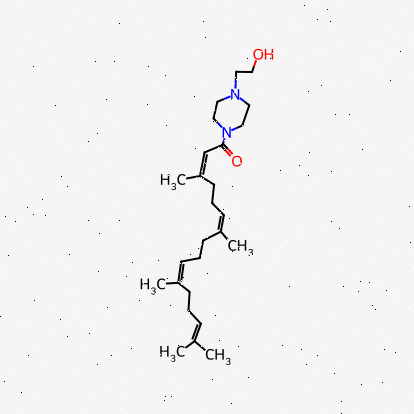 CC(C)=CCCC(C)=CCCC(C)=CCCC(C)=CC(=O)N1CCN(CCO)CC1